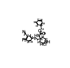 Cl.N#Cc1cc(CCC2(NC(=O)OCc3ccccc3)CCNCC2)ccc1F